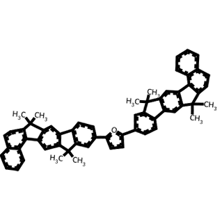 CC1(C)c2cc(-c3ccc(-c4ccc5c(c4)C(C)(C)c4cc6c(cc4-5)C(C)(C)c4ccc5ccccc5c4-6)o3)ccc2-c2cc3c(cc21)-c1c(ccc2ccccc12)C3(C)C